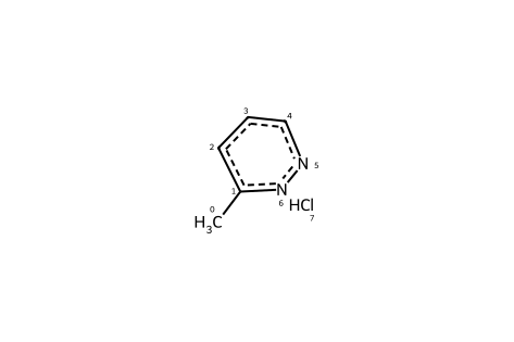 Cc1cccnn1.Cl